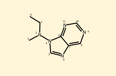 CCN(C)n1cnc2cncnc21